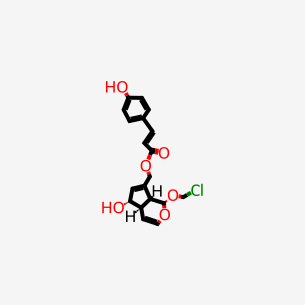 O=C(/C=C/c1ccc(O)cc1)OCC1=C[C@@H](O)[C@@H]2C=CO[C@@H](OCCl)[C@H]12